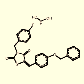 O=C1SC(=Cc2ccc(OCc3ccccc3)cc2)C(=O)N1Cc1ccc(F)cc1.OBO